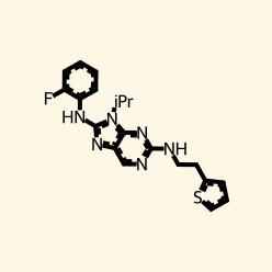 CC(C)n1c(Nc2ccccc2F)nc2cnc(NCCc3cccs3)nc21